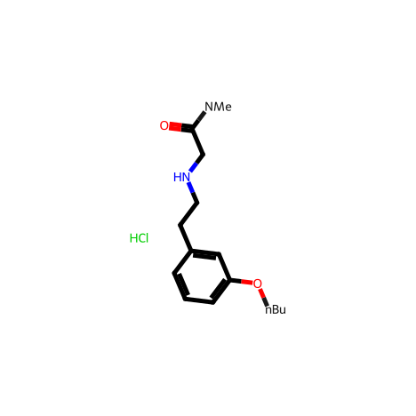 CCCCOc1cccc(CCNCC(=O)NC)c1.Cl